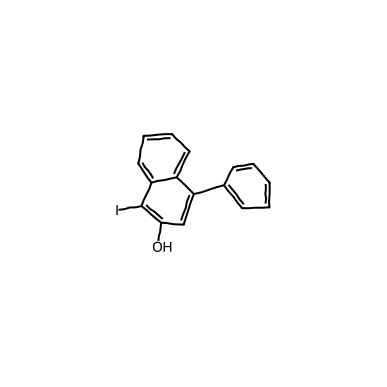 Oc1cc(-c2ccccc2)c2ccccc2c1I